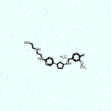 COc1cc([C@@H](C)N[C@H]2CC[C@@H](c3ccc(NCCNCCO)nc3)C2)ccc1F